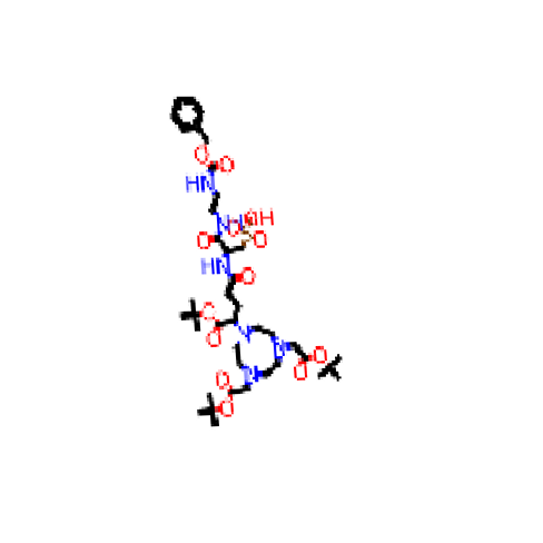 CC(C)(C)OC(=O)CN1CCN(CC(=O)OC(C)(C)C)CCN(C(CCC(=O)NC(CS(=O)(=O)O)C(=O)NCCNC(=O)OCc2ccccc2)C(=O)OC(C)(C)C)CC1